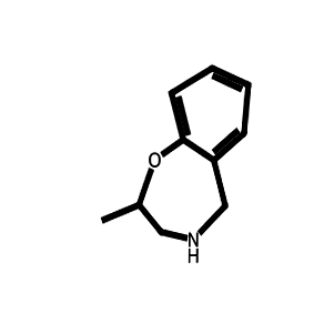 CC1CNCc2ccccc2O1